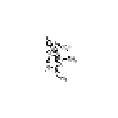 CC(C)C[C@@H](C(=O)O)N(C)C(=O)[C@H](Cc1ccc(O)cc1)NC(=O)[C@@H]1C/C=C/C[C@H](N)C(=O)N[C@@H](CCCCN)C(=O)N[C@@H](CCCCN)C(=O)N1